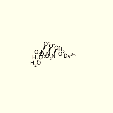 O.O.O.O=[N+]([O-])[O-].O=[N+]([O-])[O-].O=[N+]([O-])[O-].[Dy+3]